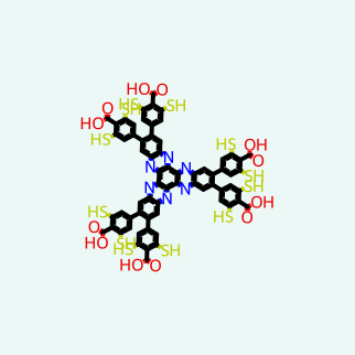 O=C(O)c1c(S)cc(-c2cc3nc4c5nc6cc(-c7cc(S)c(C(=O)O)c(S)c7)c(-c7cc(S)c(C(=O)O)c(S)c7)cc6nc5c5nc6cc(-c7cc(S)c(C(=O)O)c(S)c7)c(-c7cc(S)c(C(=O)O)c(S)c7)cc6nc5c4nc3cc2-c2cc(S)c(C(=O)O)c(S)c2)cc1S